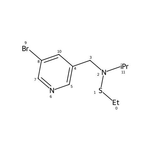 CCSN(Cc1cncc(Br)c1)C(C)C